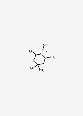 CC1CC(C)(C)OC(C)O1.CO